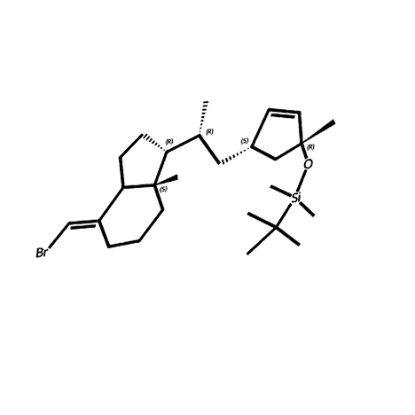 C[C@H](C[C@@H]1C=C[C@](C)(O[Si](C)(C)C(C)(C)C)C1)[C@H]1CCC2C(=CBr)CCC[C@]21C